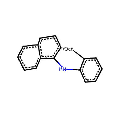 CCCCCCCCc1ccccc1Nc1cccc2ccccc12